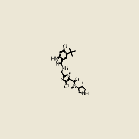 C[C@@H]1CNC[C@H]1N(C)C(=O)c1c(Cl)nc(CNc2n[nH]c3cc(Cl)c(C(C)(C)C)cc23)n1C